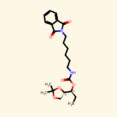 BC[C@H](OC(=O)NCCCCCCN1C(=O)c2ccccc2C1=O)[C@@H]1COC(C)(C)O1